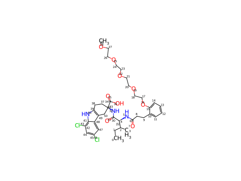 CCC(C)[C@H](NC(=O)CCc1ccccc1OCCOCCOCCOCCOC)C(=O)N[C@]1(C(=O)O)CCc2[nH]c3c(Cl)cc(Cl)cc3c2C1